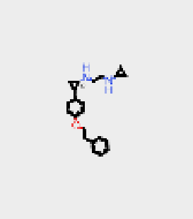 c1ccc(CCOc2ccc(C3C[C@@H]3NCCNC3CC3)cc2)cc1